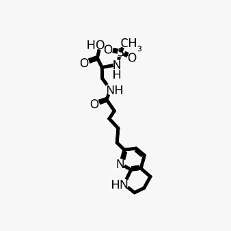 CS(=O)(=O)NC(CNC(=O)CCCCc1ccc2c(n1)NCCC2)C(=O)O